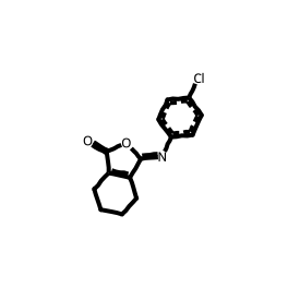 O=C1OC(=Nc2ccc(Cl)cc2)C2=C1CCCC2